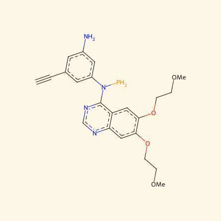 C#Cc1cc(N)cc(N(P)c2ncnc3cc(OCCOC)c(OCCOC)cc23)c1